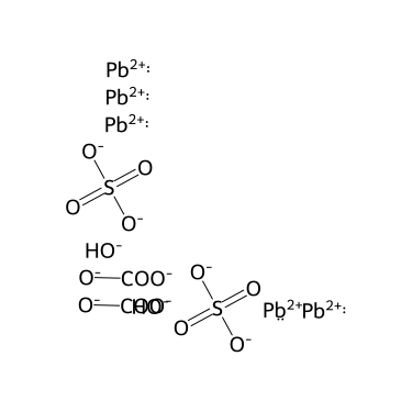 O=C([O-])[O-].O=C([O-])[O-].O=S(=O)([O-])[O-].O=S(=O)([O-])[O-].[OH-].[OH-].[Pb+2].[Pb+2].[Pb+2].[Pb+2].[Pb+2]